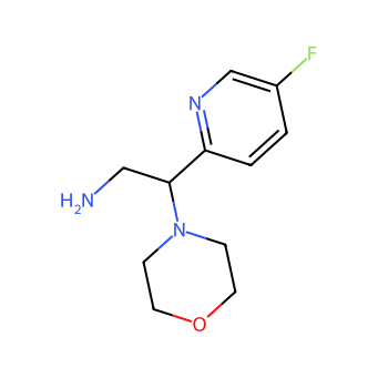 NCC(c1ccc(F)cn1)N1CCOCC1